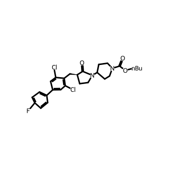 CCCCOC(=O)N1CCC(N2CC[C@@H](Cc3c(Cl)cc(-c4ccc(F)cc4)cc3Cl)C2=O)CC1